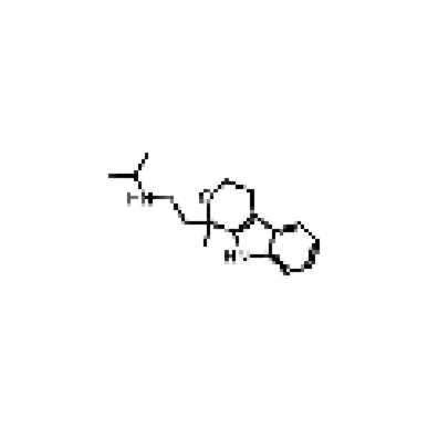 CC(C)NCCC1(C)OCCc2c1[nH]c1ccccc21